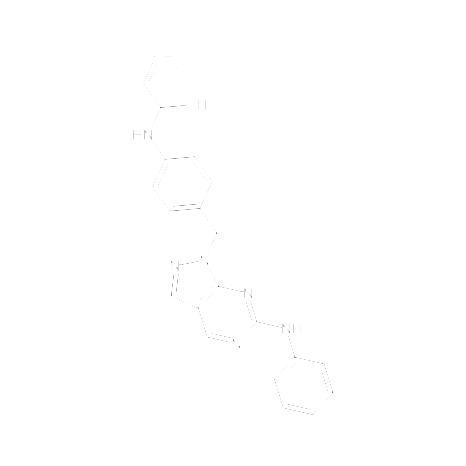 C=CC(O)Nc1ccc(Cn2ncc3cnc(Nc4ccccc4)nc32)cc1